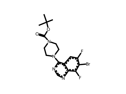 CC(C)(C)OC(=O)N1CCN(c2ncnc3c(F)c(Br)c(F)cc23)CC1